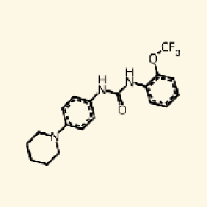 O=C(Nc1ccc(N2CCCCC2)cc1)Nc1ccccc1OC(F)(F)F